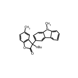 CCCCC1(c2ccc3c(c2)c2ccccc2n3C)C(=O)Oc2ccc(C)cc21